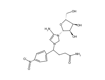 NC(=O)CCC(c1ccc([N+](=O)[O-])cc1)N1C=C(N)N([C@@H]2O[C@H](CO)[C@@H](O)[C@H]2O)C1